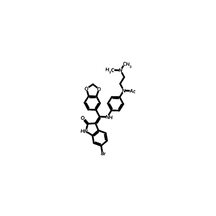 CC(=O)N(CCN(C)C)c1ccc(NC(=C2C(=O)Nc3cc(Br)ccc32)c2ccc3c(c2)OCO3)cc1